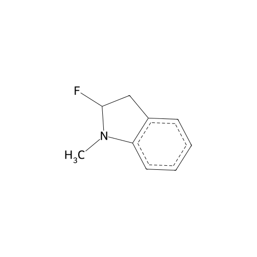 CN1c2ccccc2CC1F